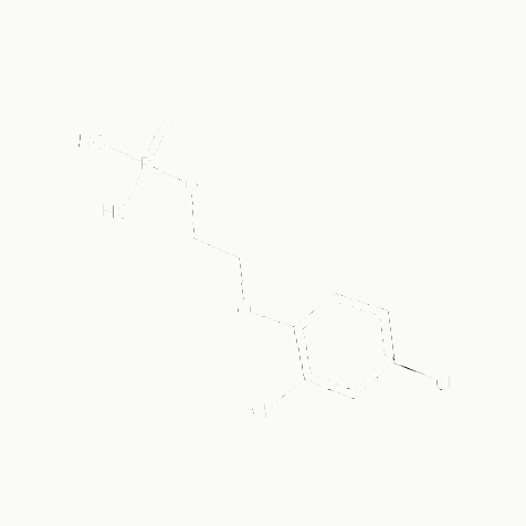 O=P(O)(O)OCCOc1ccc(Cl)cc1Cl